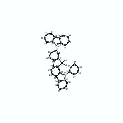 CC1(C)c2cc(-n3c4ccccc4c4ccccc43)ccc2-c2ccc3c4ccccc4n(-c4ccccc4)c3c21